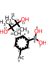 CC(=O)c1cccc(B(O)O)c1.CC(C)(O)C(C)(C)O